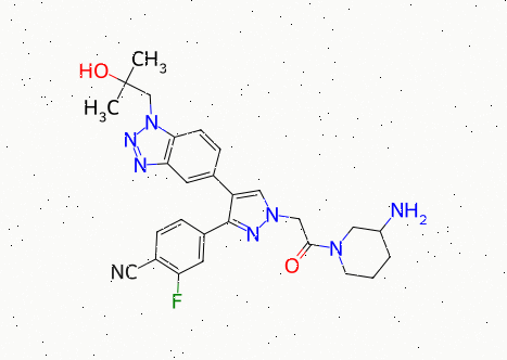 CC(C)(O)Cn1nnc2cc(-c3cn(CC(=O)N4CCCC(N)C4)nc3-c3ccc(C#N)c(F)c3)ccc21